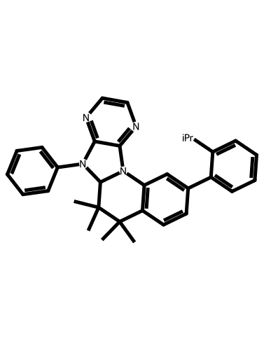 CC(C)c1ccccc1-c1ccc2c(c1)N1c3nccnc3N(c3ccccc3)C1C(C)(C)C2(C)C